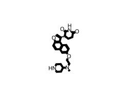 CN(CCOc1ccc2c(ccc3occ([C@@H]4CCC(=O)NC4=O)c32)c1)C1CCNCC1